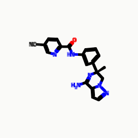 C[C@@]1(c2cccc(NC(=O)c3ccc(C#N)cn3)c2)Cn2nccc2C(N)=N1